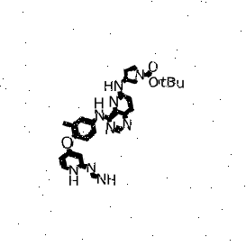 Cc1cc(Nc2ncnc3ccc(NC4CCN(C(=O)OC(C)(C)C)C4)nc23)ccc1Oc1cc[nH]/c(=N\C=N)c1